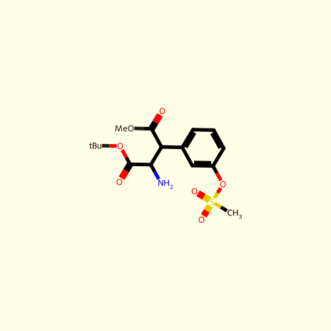 COC(=O)C(c1cccc(OS(C)(=O)=O)c1)C(N)C(=O)OC(C)(C)C